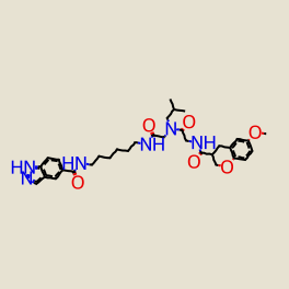 COc1ccc2c(c1)CC(C(=O)NCC(=O)N(CC(=O)NCCCCCCNC(=O)c1ccc3[nH]ncc3c1)CC(C)C)CO2